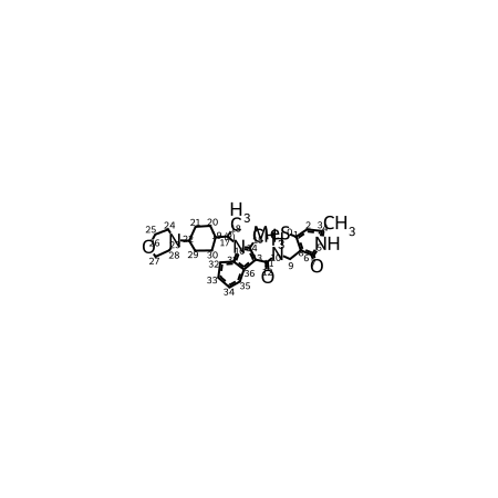 CSc1cc(C)[nH]c(=O)c1CNC(=O)c1c(C)n([C@H](C)C2CCC(N3CCOCC3)CC2)c2ccccc12